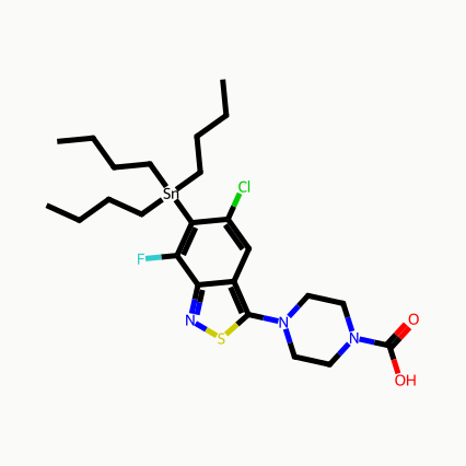 CCC[CH2][Sn]([CH2]CCC)([CH2]CCC)[c]1c(Cl)cc2c(N3CCN(C(=O)O)CC3)snc2c1F